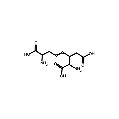 NC(CSSC(CC(=O)O)C(N)C(=O)O)C(=O)O